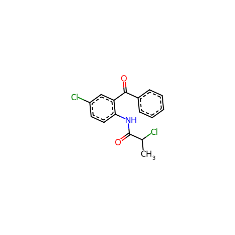 CC(Cl)C(=O)Nc1ccc(Cl)cc1C(=O)c1ccccc1